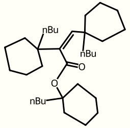 CCCCC1(C=C(C(=O)OC2(CCCC)CCCCC2)C2(CCCC)CCCCC2)CCCCC1